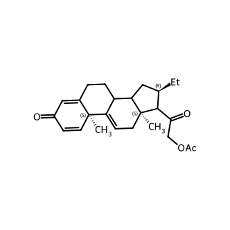 CC[C@@H]1CC2C3CCC4=CC(=O)C=C[C@]4(C)C3=CC[C@]2(C)C1C(=O)COC(C)=O